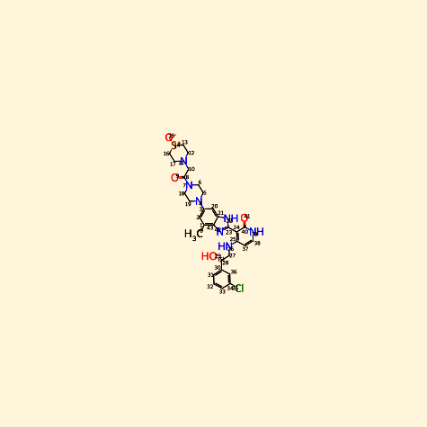 Cc1cc(N2CCN(C(=O)CN3CC[S+]([O-])CC3)CC2)cc2[nH]c(-c3c(NC[C@@H](O)c4cccc(Cl)c4)cc[nH]c3=O)nc12